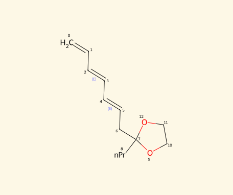 C=C/C=C/C=C/CC1(CCC)OCCO1